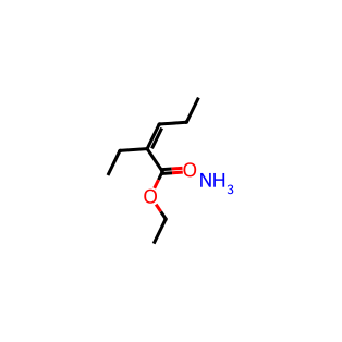 CCC=C(CC)C(=O)OCC.N